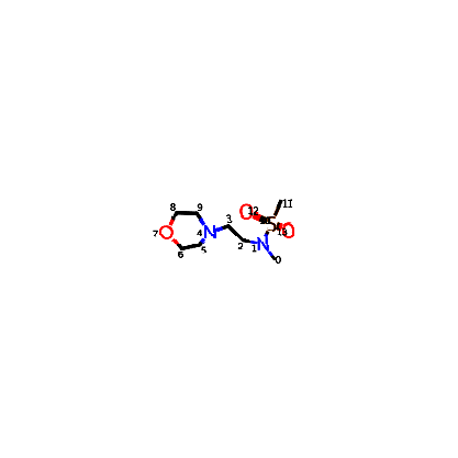 CN(CCN1CCOCC1)S(C)(=O)=O